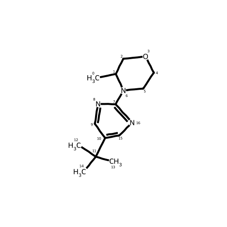 CC1COCCN1c1ncc(C(C)(C)C)cn1